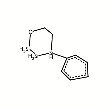 c1ccc([SiH]2CCO[SiH2][SiH2]2)cc1